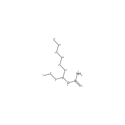 C=C(N)OC(CCC)CCCCCC